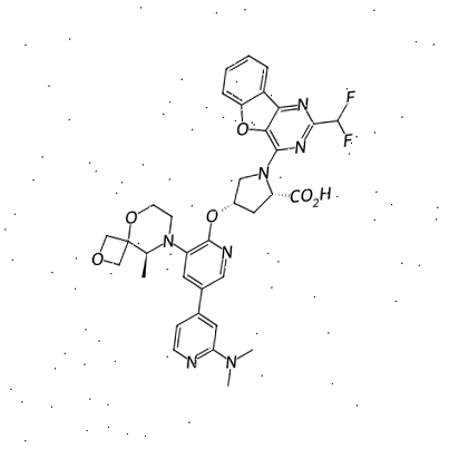 C[C@@H]1N(c2cc(-c3ccnc(N(C)C)c3)cnc2O[C@H]2C[C@@H](C(=O)O)N(c3nc(C(F)F)nc4c3oc3ccccc34)C2)CCOC12COC2